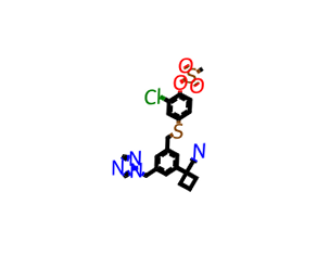 CS(=O)(=O)Oc1ccc(SCc2cc(Cn3cncn3)cc(C3(C#N)CCC3)c2)cc1Cl